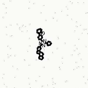 c1ccc(-c2nc(-c3ccc4c(c3)oc3ccccc34)nc(-c3ccc4ccc5c6ccccc6ccc5c4c3)n2)cc1